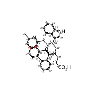 Cc1cccc(CN(C)C(=O)c2ccccc2-c2ccccc2C(=O)N(CCC(=O)O)CCc2c[nH]c3ccccc23)n1